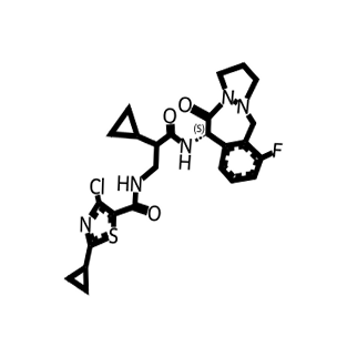 O=C(NCC(C(=O)N[C@@H]1C(=O)N2CCCN2Cc2c(F)cccc21)C1CC1)c1sc(C2CC2)nc1Cl